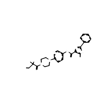 CCOC(=O)CC(O)(C(=O)N1CCN(c2ccc(NC(=O)c3oc(-c4ccccc4)nc3C(F)(F)F)cn2)CC1)C(F)(F)F